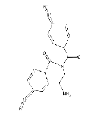 [N-]=[N+]=C1C=CC(C(=O)N(CCN)C(=O)C2C=CC(=[N+]=[N-])C=C2)C=C1